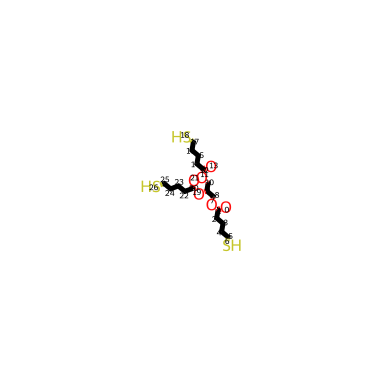 O=C(CCCCS)OCC(COC(=O)CCCCS)OC(=O)CCCCS